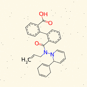 C=CCN(C(=O)c1ccccc1-c1ccccc1C(=O)O)N1C=CC=CC1C1=CCC=CC1